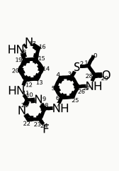 CC1Sc2ccc(Nc3nc(Nc4ccc5cn[nH]c5c4)ncc3F)cc2NC1=O